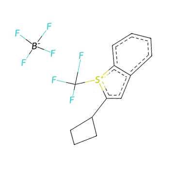 FC(F)(F)[s+]1c(C2CCC2)cc2ccccc21.F[B-](F)(F)F